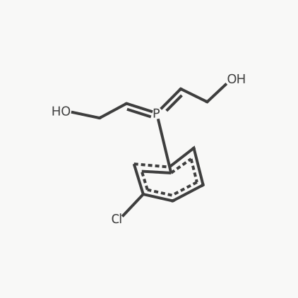 OC/C=P(=C\CO)\c1cccc(Cl)c1